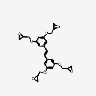 C(=C\c1cc(OCC2CO2)cc(OCC2CO2)c1)/c1cc(OCC2CO2)cc(OCC2CO2)c1